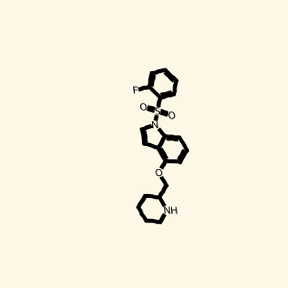 O=S(=O)(c1ccccc1F)n1ccc2c(OCC3CCCCN3)cccc21